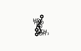 CCCCC(=O)N(CCNC(=O)C(CS)Cc1ccccc1)Cc1ccc(-c2ccccc2C(=O)O)cc1